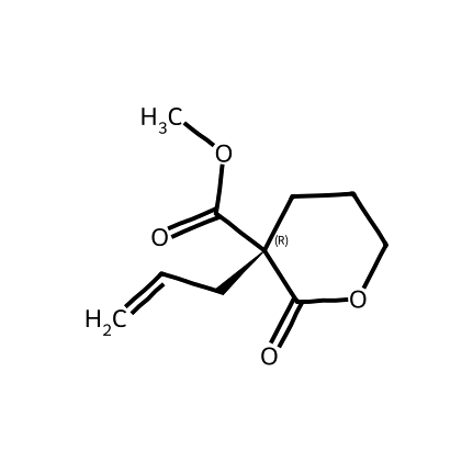 C=CC[C@@]1(C(=O)OC)CCCOC1=O